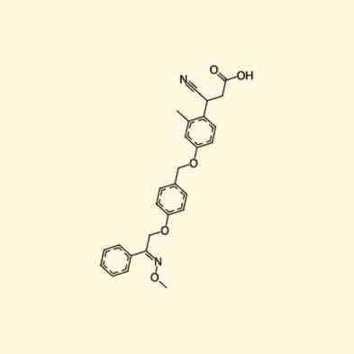 CON=C(COc1ccc(COc2ccc(C(C#N)CC(=O)O)c(C)c2)cc1)c1ccccc1